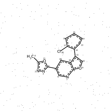 Cc1nnc(-c2cnc3occ(-c4ccccc4Cl)c3c2)o1